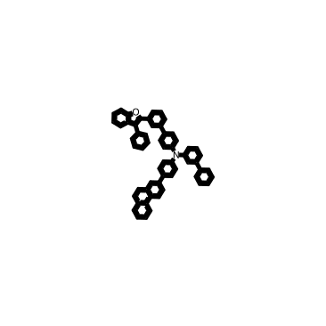 c1ccc(-c2cccc(N(c3ccc(-c4cccc(-c5oc6ccccc6c5-c5ccccc5)c4)cc3)c3ccc(-c4ccc5c(ccc6ccccc65)c4)cc3)c2)cc1